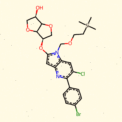 C[Si](C)(C)CCOCn1c(O[C@@H]2COC3C2OC[C@H]3O)cc2nc(-c3ccc(Br)cc3)c(Cl)cc21